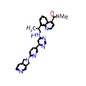 CNC(=O)c1ccnc2c([C@H](C)CNc3cc(-c4ccc(N5Cc6ccncc6C5)nc4)ncn3)cccc12